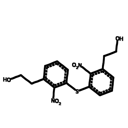 O=[N+]([O-])c1c(CCO)cccc1Sc1cccc(CCO)c1[N+](=O)[O-]